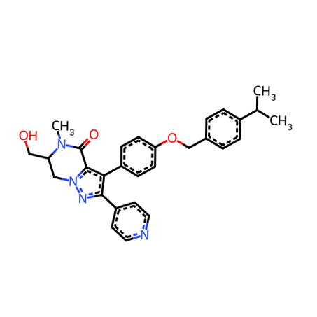 CC(C)c1ccc(COc2ccc(-c3c(-c4ccncc4)nn4c3C(=O)N(C)C(CO)C4)cc2)cc1